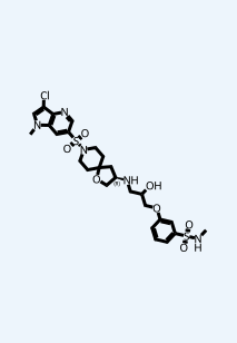 CNS(=O)(=O)c1cccc(OCC(O)CN[C@H]2COC3(CCN(S(=O)(=O)c4cnc5c(Cl)cn(C)c5c4)CC3)C2)c1